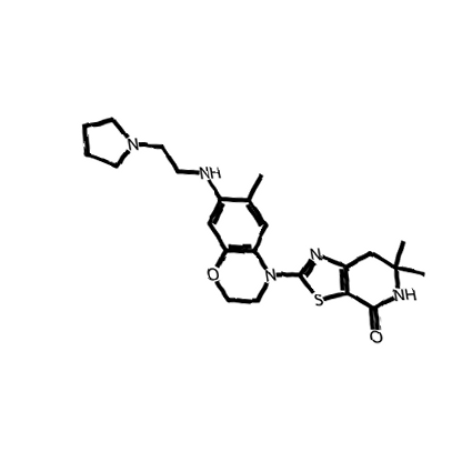 Cc1cc2c(cc1NCCN1CCCC1)OCCN2c1nc2c(s1)C(=O)NC(C)(C)C2